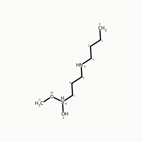 CCCCNCCC[SiH](O)OC